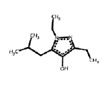 CCc1nn(CC)c(CC(C)C)c1O